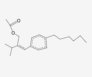 CCCCCCc1ccc(C=C(COC(C)=O)C(C)C)cc1